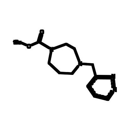 CC(C)(C)OC(=O)N1CCCN(Cc2cccnn2)CC1